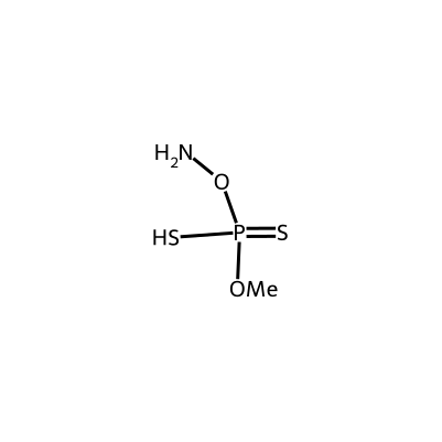 COP(=S)(S)ON